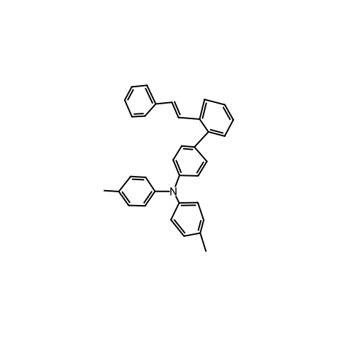 Cc1ccc(N(c2ccc(C)cc2)c2ccc(-c3ccccc3C=Cc3ccccc3)cc2)cc1